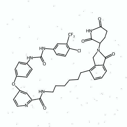 O=C1CCC(N2Cc3c(CCCCCCNC(=O)c4cc(Oc5ccc(NC(=O)Nc6ccc(Cl)c(C(F)(F)F)c6)cc5)ccn4)cccc3C2=O)C(=O)N1